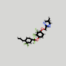 CCCC1CCC(C(F)(F)Oc2ccc(OCc3ncc(C)cn3)c(F)c2F)CC1(F)F